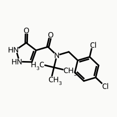 CC(C)(C)N(Cc1ccc(Cl)cc1Cl)C(=O)c1c[nH][nH]c1=O